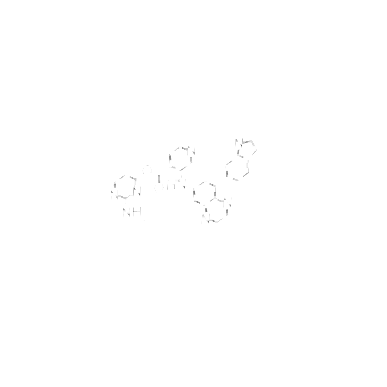 Cn1ccc2ccc(-c3cc(Nc4cnccc4C(=O)Oc4ccnc(N)n4)cc4nccnc34)cc21